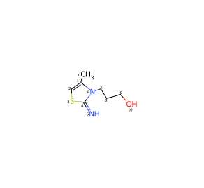 Cc1csc(=N)n1CCCO